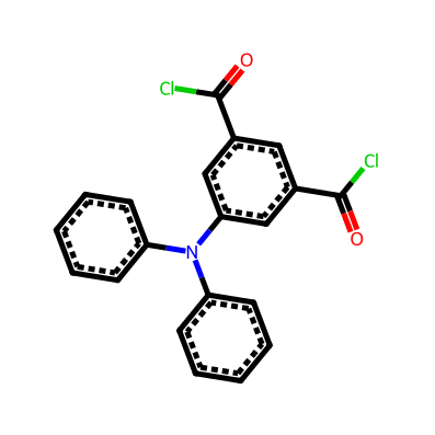 O=C(Cl)c1cc(C(=O)Cl)cc(N(c2ccccc2)c2ccccc2)c1